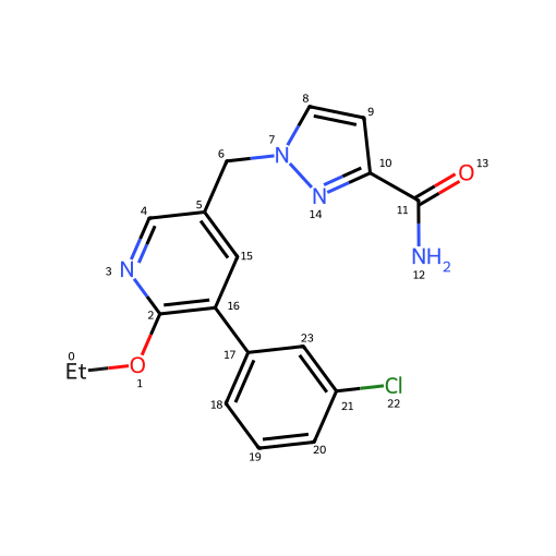 CCOc1ncc(Cn2ccc(C(N)=O)n2)cc1-c1cccc(Cl)c1